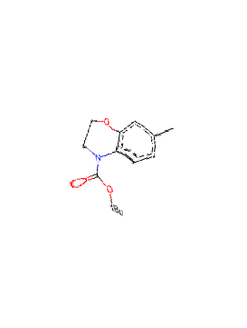 Cc1ccc2c(c1)OCCN2C(=O)OC(C)(C)C